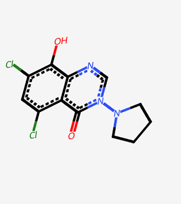 O=c1c2c(Cl)cc(Cl)c(O)c2ncn1N1CCCC1